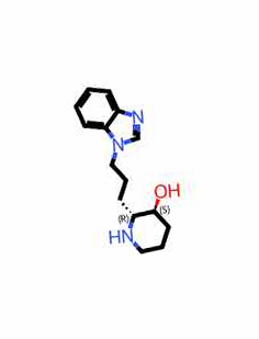 O[C@H]1CCCN[C@@H]1CCCn1cnc2ccccc21